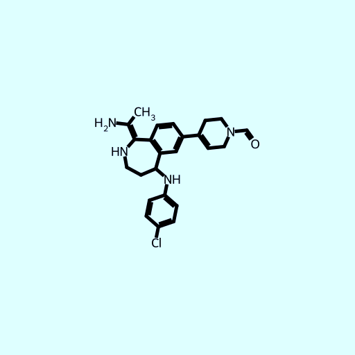 C/C(N)=C1/NCCC(Nc2ccc(Cl)cc2)c2cc(C3=CCN(C=O)CC3)ccc21